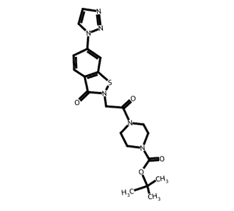 CC(C)(C)OC(=O)N1CCN(C(=O)Cn2sc3cc(-n4ccnn4)ccc3c2=O)CC1